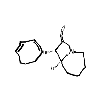 O=C1[C@@H](C2=CC=CCC2)[C@@H]2CCCCN12